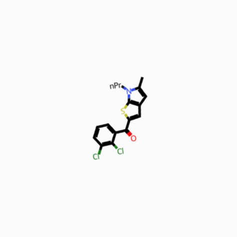 CCCn1c(C)cc2cc(C(=O)c3cccc(Cl)c3Cl)sc21